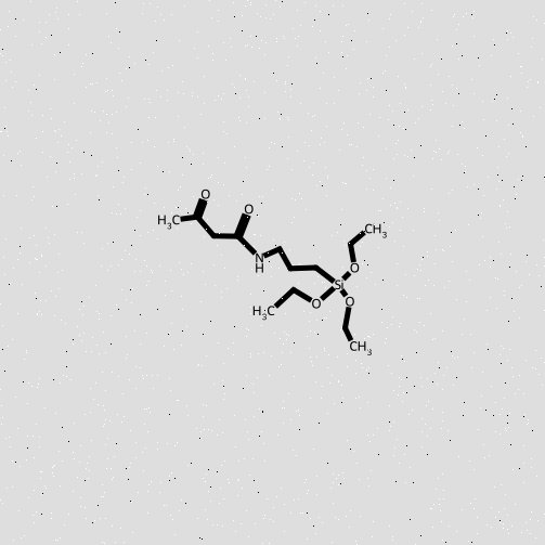 CCO[Si](CCCNC(=O)CC(C)=O)(OCC)OCC